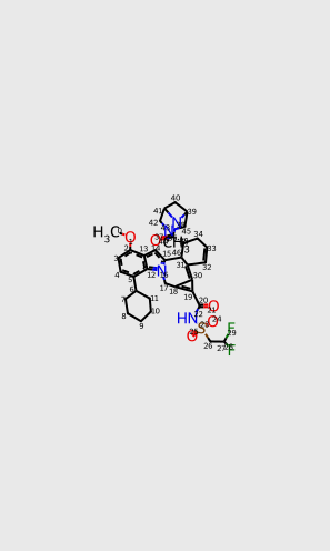 COc1ccc(C2CCCCC2)c2c1cc1n2CC2=C(C(=O)NS(=O)(=O)CC(F)F)C2=C2C=CC[C@@H](C(=O)N3C4CC3CN(C)C4)C21